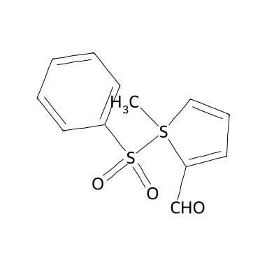 CS1(S(=O)(=O)c2ccccc2)C=CC=C1C=O